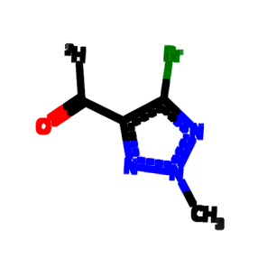 [2H]C(=O)c1nn(C)nc1Br